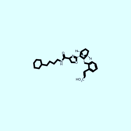 O=C(O)/C=C/c1ccccc1C[C@@H]1[C@H](C2=NC(C(=O)NCCCCC3CCCCC3)CO2)[C@H]2CC[C@@H]1O2